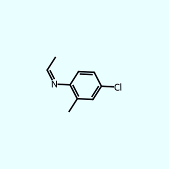 C/C=N\c1ccc(Cl)cc1C